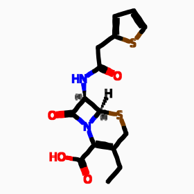 CCC1=C(C(=O)O)N2C(=O)[C@@H](NC(=O)Cc3cccs3)[C@H]2SC1